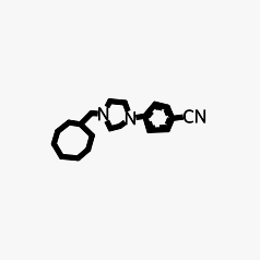 N#Cc1ccc(N2CCN(CC3CCCCCCC3)CC2)cc1